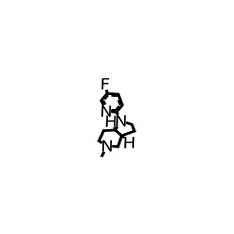 CN1CC[C@H]2[C@H](CCN2c2ccc(F)cn2)C1